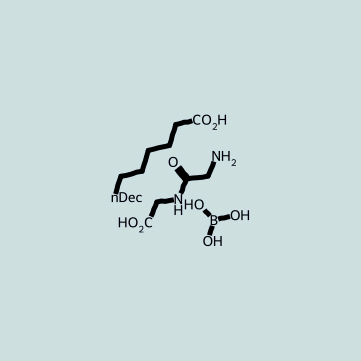 CCCCCCCCCCCCCCCC(=O)O.NCC(=O)NCC(=O)O.OB(O)O